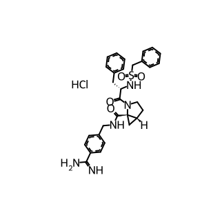 Cl.N=C(N)c1ccc(CNC(=O)[C@]23C[C@H]2CCN3C(=O)[C@H](Cc2ccccc2)NS(=O)(=O)Cc2ccccc2)cc1